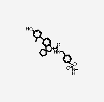 CNS(=O)(=O)c1ccc(CNC(=O)N2CC3(CCCC3)c3cc(-c4ccc(O)cc4C)ccc32)cc1